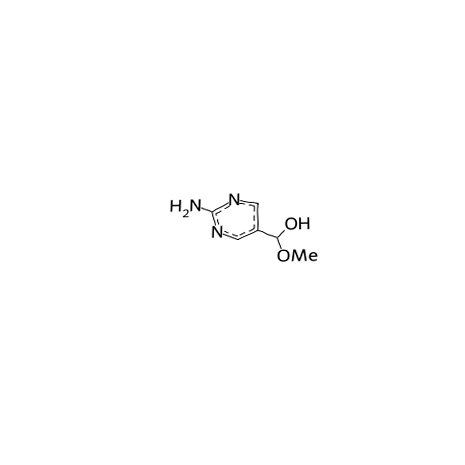 COC(O)c1cnc(N)nc1